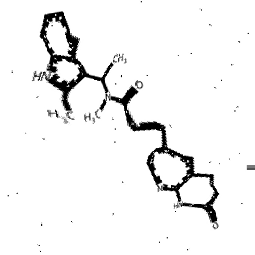 Cc1[nH]c2ccccc2c1C(C)N(C)C(=O)/C=C/c1cnc2c(c1)CCC(=O)N2